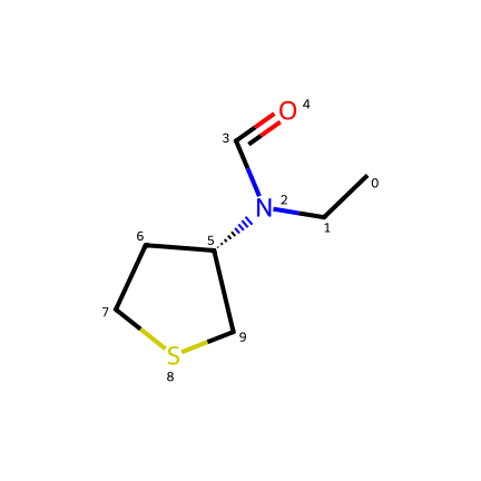 CCN(C=O)[C@H]1CCSC1